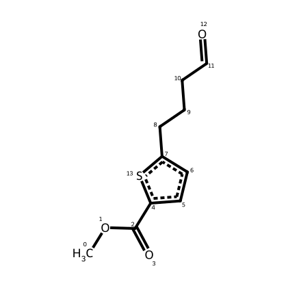 COC(=O)c1ccc(CCCC=O)s1